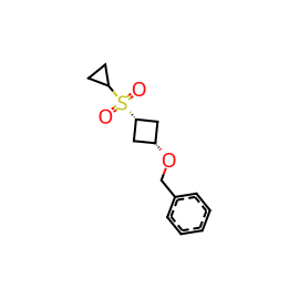 O=S(=O)(C1CC1)[C@H]1C[C@@H](OCc2ccccc2)C1